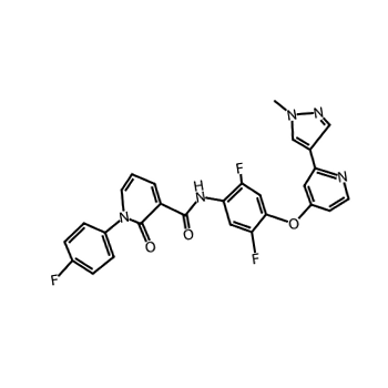 Cn1cc(-c2cc(Oc3cc(F)c(NC(=O)c4cccn(-c5ccc(F)cc5)c4=O)cc3F)ccn2)cn1